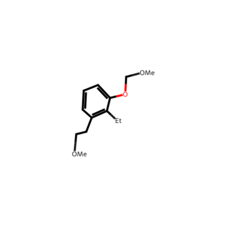 CCc1c(CCOC)cccc1OCOC